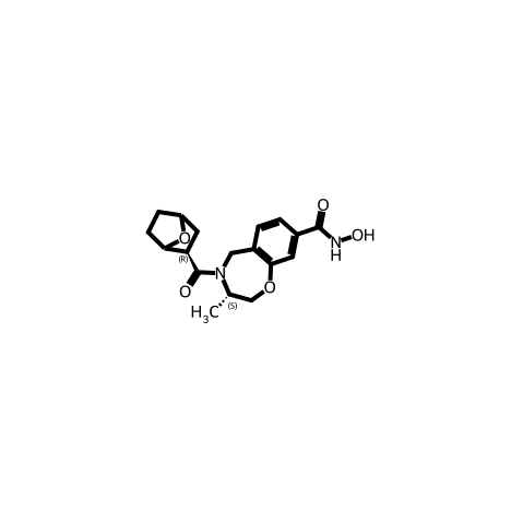 C[C@H]1COc2cc(C(=O)NO)ccc2CN1C(=O)[C@@H]1CC2CCC1O2